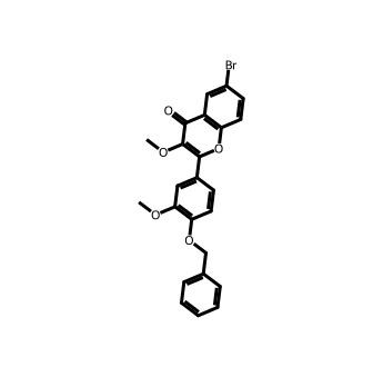 COc1cc(-c2oc3ccc(Br)cc3c(=O)c2OC)ccc1OCc1ccccc1